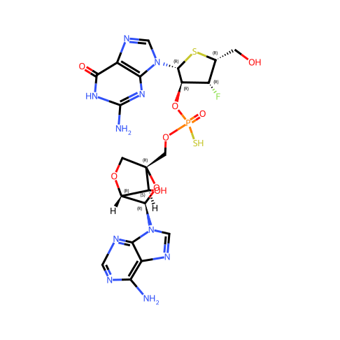 Nc1nc2c(ncn2[C@@H]2S[C@H](CO)[C@H](F)[C@H]2OP(=O)(S)OC[C@@]23CO[C@@H]([C@H](n4cnc5c(N)ncnc54)O2)[C@@H]3O)c(=O)[nH]1